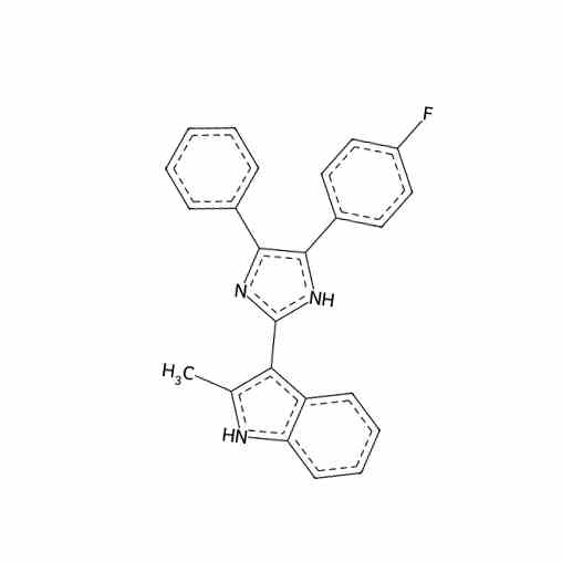 Cc1[nH]c2ccccc2c1-c1nc(-c2ccccc2)c(-c2ccc(F)cc2)[nH]1